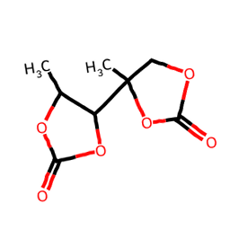 CC1OC(=O)OC1C1(C)COC(=O)O1